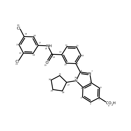 O=C(O)c1ccc2c(c1)nc(-c1cccc(C(=O)Nc3cc(Cl)cc(Cl)c3)c1)n2C1CCCC1